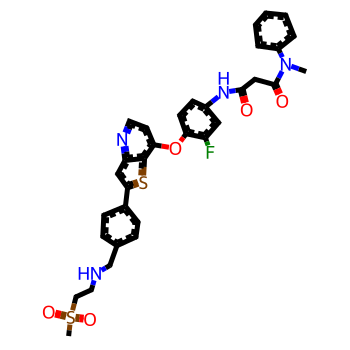 CN(C(=O)CC(=O)Nc1ccc(Oc2ccnc3cc(-c4ccc(CNCCS(C)(=O)=O)cc4)sc23)c(F)c1)c1ccccc1